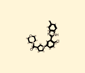 Cc1ccc2[nH]c(-c3cc(N4CCC(C(=O)N5CCOCC5)C4)ccc3Cl)nc2c1